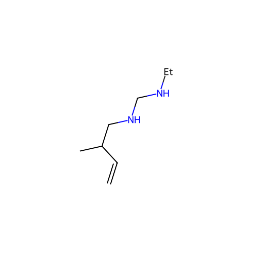 C=CC(C)CNCNCC